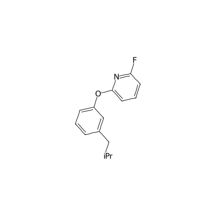 CC(C)Cc1cccc(Oc2cccc(F)n2)c1